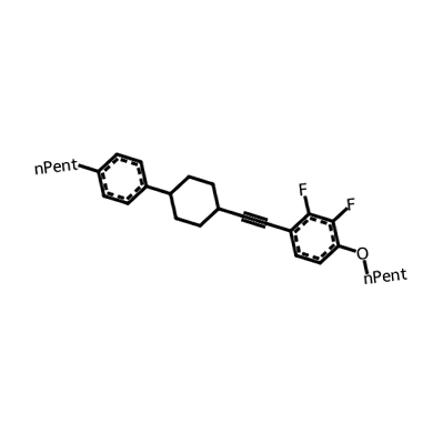 CCCCCOc1ccc(C#CC2CCC(c3ccc(CCCCC)cc3)CC2)c(F)c1F